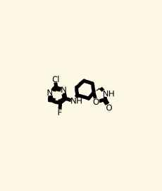 O=C1NC[C@]2(CCCC(Nc3nc(Cl)ncc3F)C2)O1